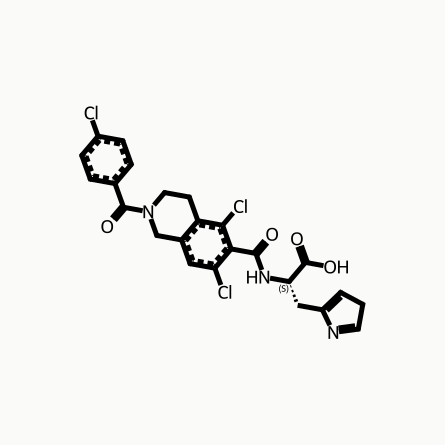 O=C(N[C@@H](CC1=CCC=N1)C(=O)O)c1c(Cl)cc2c(c1Cl)CCN(C(=O)c1ccc(Cl)cc1)C2